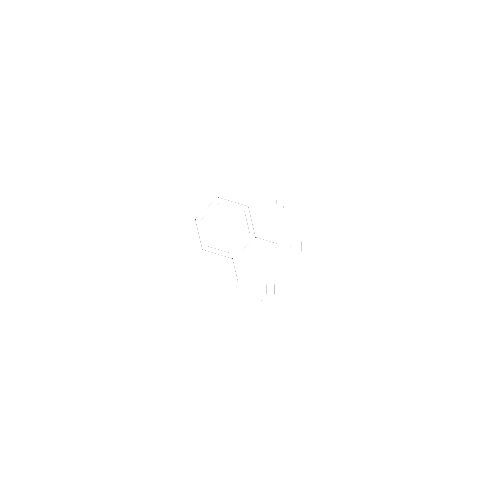 O=C(O)c1ccccc1O.[Dy]